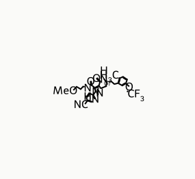 COCCCNC(=O)c1c2c(nn1-c1ccc(C#N)cn1)C[C@H](CCc1cc(OCC(F)(F)F)ccc1C)NC2=O